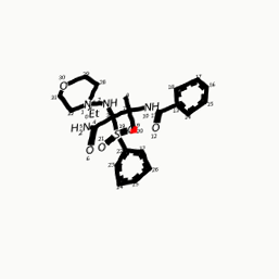 CC[N+]1(NC(C(N)=O)(C(C)(C)NC(=O)c2ccccc2)S(=O)(=O)c2ccccc2)CCOCC1